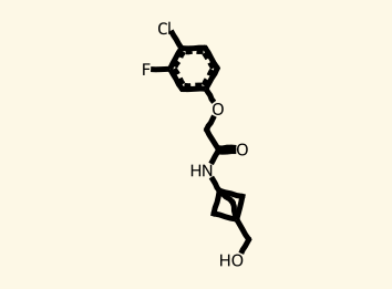 O=C(COc1ccc(Cl)c(F)c1)NC12CC(CO)(C1)C2